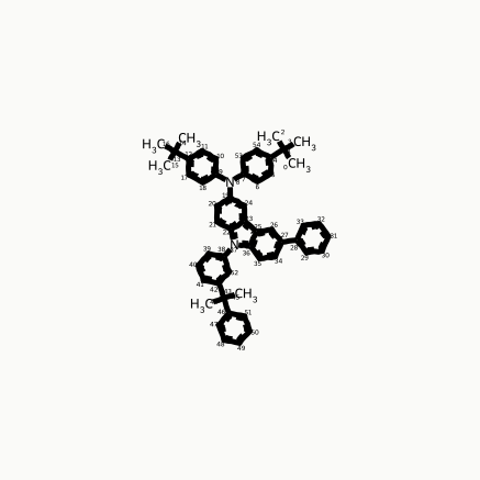 CC(C)(C)c1ccc(N(c2ccc(C(C)(C)C)cc2)c2ccc3c(c2)c2cc(-c4ccccc4)ccc2n3-c2cccc(C(C)(C)c3ccccc3)c2)cc1